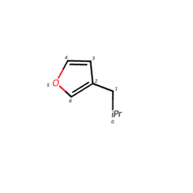 [CH2]C(C)Cc1ccoc1